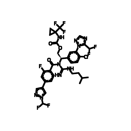 CC(C)CCNC(=N)N(C(=O)c1ccc(-c2cnn(C(F)F)c2)cc1F)[C@H](COC(=O)NC1(C(F)(F)F)CC1)c1ccc(Cl)c(-n2ncnc2C(F)F)c1